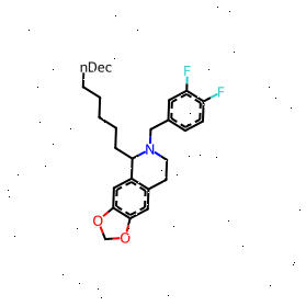 CCCCCCCCCCCCCCCC1c2cc3c(cc2CCN1Cc1ccc(F)c(F)c1)OCO3